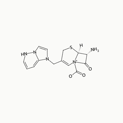 N[C@@H]1C(=O)[N+]2(C(=O)[O-])C=C(CN3C=CN4NC=CC=C34)CS[C@@H]12